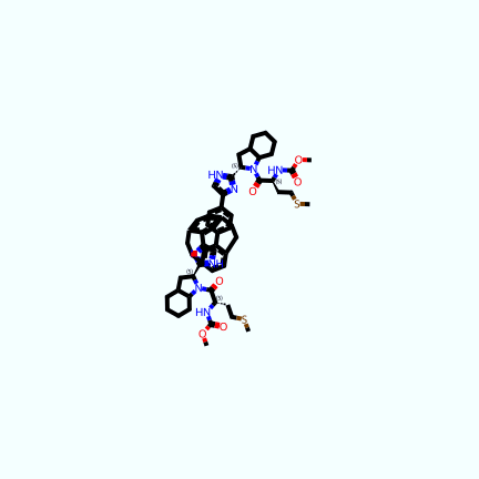 COC(=O)N[C@@H](CCSC)C(=O)N1C2CCCCC2C[C@H]1c1nc(-c2ccc(-c3cc4ccc3CCc3ccc(c(-c5c[nH]c([C@@H]6CC7CCCCC7N6C(=O)[C@H](CCSC)NC(=O)OC)n5)c3)CC4)cc2)c[nH]1